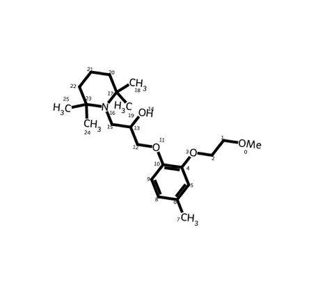 COCCOc1cc(C)ccc1OCC(O)CN1C(C)(C)CCCC1(C)C